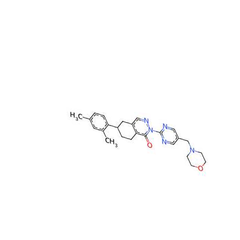 Cc1ccc(C2CCc3c(cnn(-c4ncc(CN5CCOCC5)cn4)c3=O)C2)c(C)c1